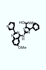 CNC(O)c1sc(Nc2nc(-c3cccnc3)nc3ccc(OC)cc23)nc1-c1ccccc1